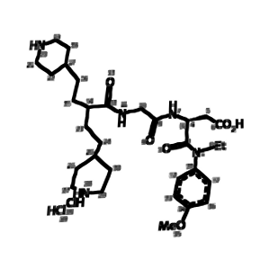 CCN(C(=O)[C@H](CC(=O)O)NC(=O)CNC(=O)C(CCC1CCNCC1)CCC1CCNCC1)c1ccc(OC)cc1.Cl.Cl